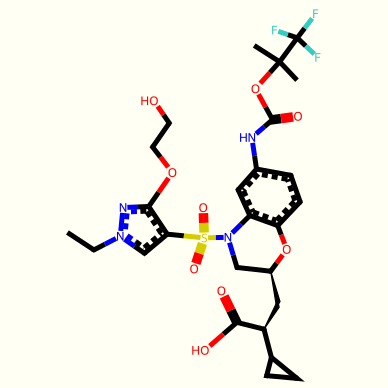 CCn1cc(S(=O)(=O)N2C[C@H](C[C@H](C(=O)O)C3CC3)Oc3ccc(NC(=O)OC(C)(C)C(F)(F)F)cc32)c(OCCO)n1